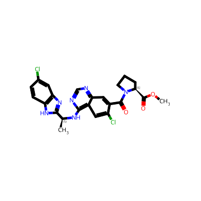 COC(=O)[C@@H]1CCCN1C(=O)c1cc2ncnc(N[C@@H](C)c3nc4cc(Cl)ccc4[nH]3)c2cc1Cl